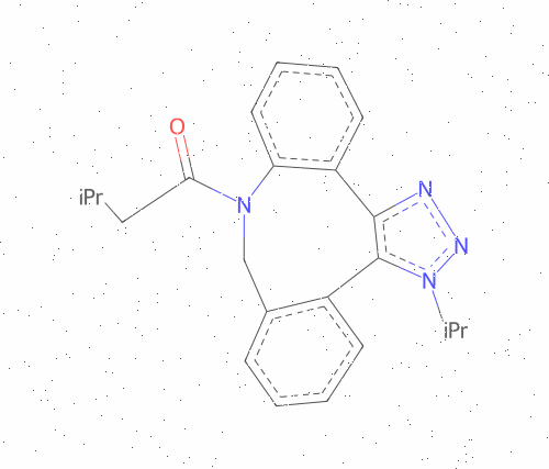 CC(C)CC(=O)N1Cc2ccccc2-c2c(nnn2C(C)C)-c2ccccc21